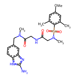 COc1cc(C)c(S(=O)(=O)N(C)CC(=O)NCC(=O)N(C)Cc2ccc3[nH]c(N)nc3c2)c(C)c1